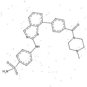 CN1CCN(C(=O)c2ccc(-c3cccc4cnc(Nc5ccc(S(N)(=O)=O)cc5)nc34)cc2)CC1